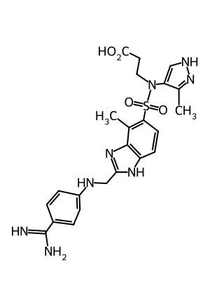 Cc1n[nH]cc1N(CCC(=O)O)S(=O)(=O)c1ccc2[nH]c(CNc3ccc(C(=N)N)cc3)nc2c1C